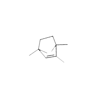 CC1=CC2(C)CCC1(C)O2